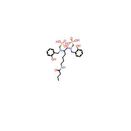 CCCC(=O)NCCCCC(CN(Cc1ccccc1O)CP(=O)(O)O)N(Cc1ccccc1O)CP(=O)(O)O